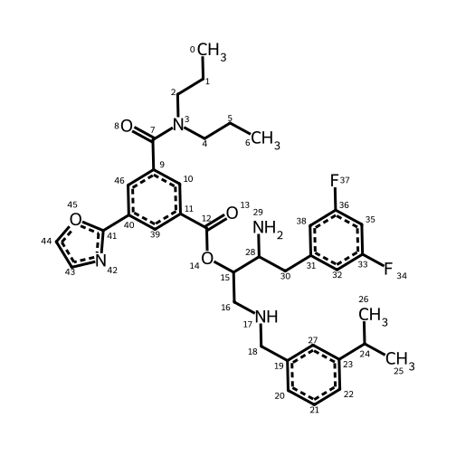 CCCN(CCC)C(=O)c1cc(C(=O)OC(CNCc2cccc(C(C)C)c2)C(N)Cc2cc(F)cc(F)c2)cc(-c2ncco2)c1